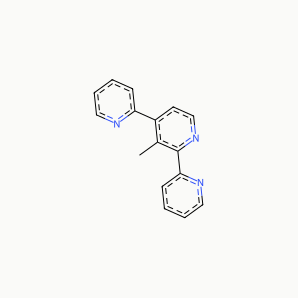 Cc1c(-c2ccccn2)ccnc1-c1ccccn1